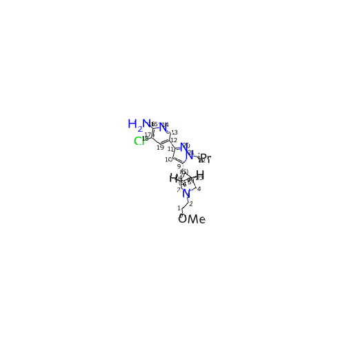 COCCN1C[C@@H]2[C@H](C1)[C@@H]2c1cc(-c2cnc(N)c(Cl)c2)nn1C(C)C